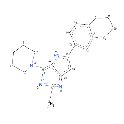 Cc1nc(N2CCCCC2)c2[nH]c(-c3ccc4c(c3)CCCC4)cc2n1